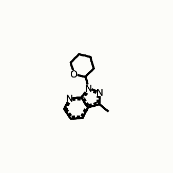 Cc1nn(C2CCCCO2)c2ncccc12